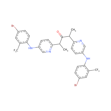 CC(C(=O)C(C)c1ccc(Nc2ccc(Br)cc2C(F)(F)F)cn1)c1ccc(Nc2ccc(Br)cc2C(F)(F)F)cn1